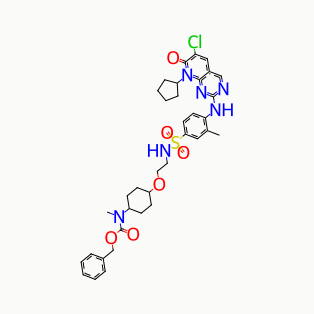 Cc1cc(S(=O)(=O)NCCOC2CCC(N(C)C(=O)OCc3ccccc3)CC2)ccc1Nc1ncc2cc(Cl)c(=O)n(C3CCCC3)c2n1